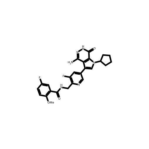 COc1ccc(F)cc1C(=O)NCc1ncc(-c2cn(C3CCCC3)c3c(=O)[nH]nc(N)c23)cc1F